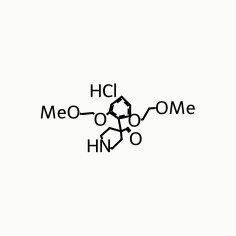 COCCOC(=O)C1(c2ccccc2OCCOC)CCNCC1.Cl